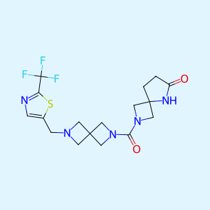 O=C1CCC2(CN(C(=O)N3CC4(CN(Cc5cnc(C(F)(F)F)s5)C4)C3)C2)N1